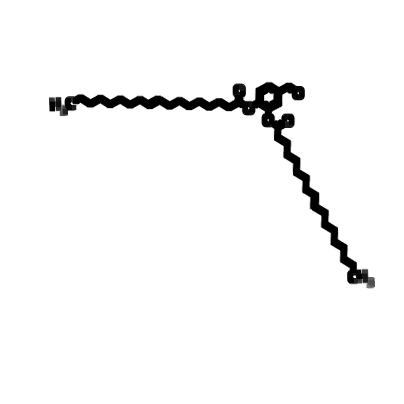 CCCCCCCCC=CCCCCCCCC(=O)Oc1ccc(C=O)cc1OC(=O)CCCCCCCC=CCCCCCCCC